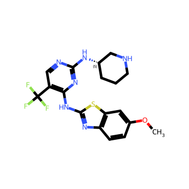 COc1ccc2nc(Nc3nc(N[C@H]4CCCNC4)ncc3C(F)(F)F)sc2c1